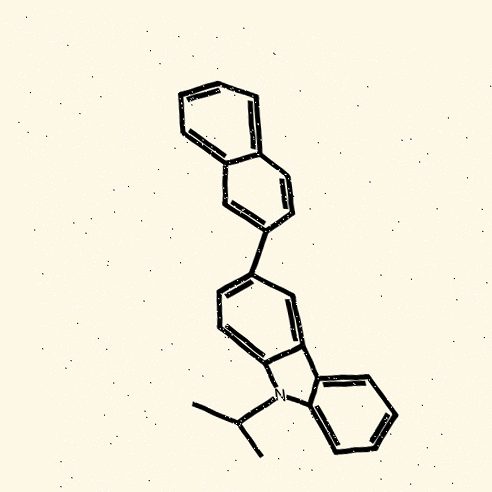 CC(C)n1c2ccccc2c2cc(-c3ccc4ccccc4c3)ccc21